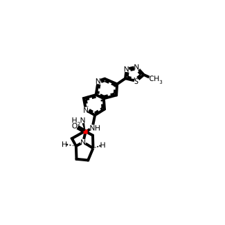 Cc1nnc(-c2cnc3cnc(NC(=O)N4[C@@H]5CC[C@H]4C[C@@H](N)C5)cc3c2)s1